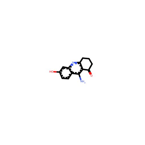 Nc1c2c(nc3cc(O)ccc13)CCCC2=O